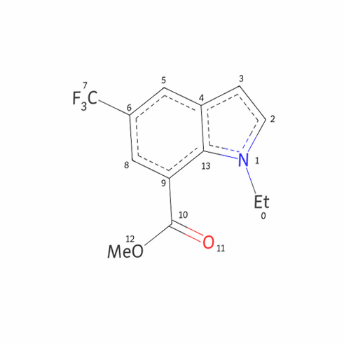 CCn1ccc2cc(C(F)(F)F)cc(C(=O)OC)c21